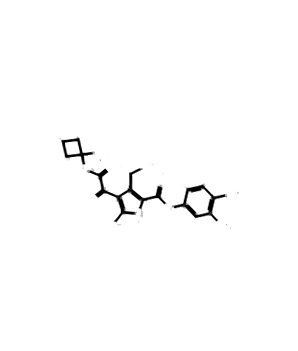 N#Cc1cc(NC(=O)c2[nH]c(Cl)c(C(=O)C(=O)NC3(C(F)(F)F)CCC3)c2CF)ccc1F